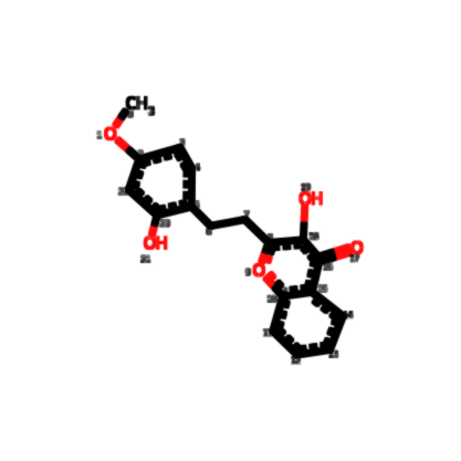 COc1ccc(CCc2oc3ccccc3c(=O)c2O)c(O)c1